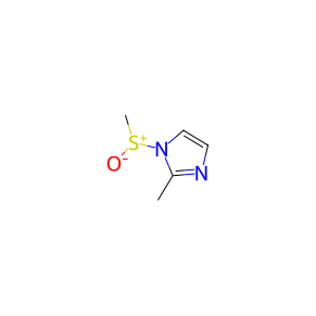 Cc1nccn1[S+](C)[O-]